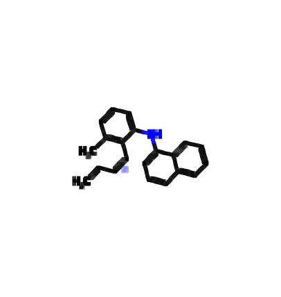 C=C/C=C\c1c(C)cccc1Nc1cccc2ccccc12